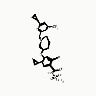 CS(=O)(=O)NC(=O)c1cc(C2CC2)c(OC2CCCN(Cc3cc(C(F)(F)F)cc(C4CC4)n3)C2)cc1F